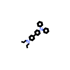 CCCN(CCC)c1ccc(-c2ccc(N(c3ccccc3)c3ccccc3)cc2)cc1